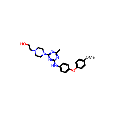 COc1ccc(Oc2ccc(Nc3nc(C)nc(N4CCN(CCO)CC4)n3)cc2)cc1